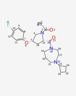 CC(C)C(=O)N1C[C@@H](Oc2ccc(F)cc2)C[C@H]1C(=O)N1CCCN(C2CCC2)CC1